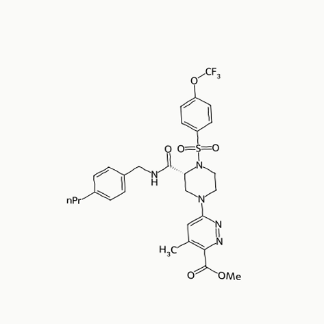 CCCc1ccc(CNC(=O)[C@H]2CN(c3cc(C)c(C(=O)OC)nn3)CCN2S(=O)(=O)c2ccc(OC(F)(F)F)cc2)cc1